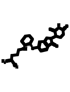 C=C(C#N)CCCN[C@@H]1CCCC[C@@H]1Oc1ccc2c(c1)CN(C1CCC(=O)NC1=O)C2=O